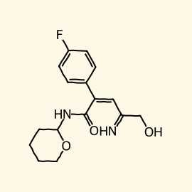 N=C(/C=C(\C(=O)NC1CCCCO1)c1ccc(F)cc1)CO